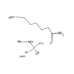 CCCCCCCCCCCCCCCC(N)=O.CCCNC(C)(O)CC.Cl